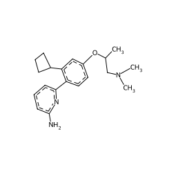 CC(CN(C)C)Oc1ccc(-c2cccc(N)n2)c(C2CCC2)c1